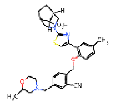 Cc1ccc(OCc2ccc(CN3CCOC(C)C3)cc2C#N)c(-c2csc(N3CC4CC[C@H](C3)[C@@H]4C(=O)O)n2)c1